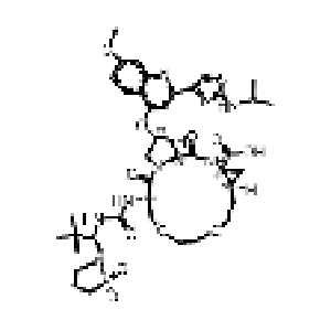 COc1ccc2c(O[C@@H]3C[C@H]4C(=O)N[C@]5(C(=O)O)C[C@@H]5CCCCCCC[C@H](NC(=O)NC(CN5CCCS5(=O)=O)C(C)(C)C)C(=O)N4C3)cc(-c3csc(NC(C)C)n3)nc2c1